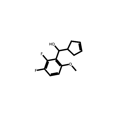 COc1ccc(F)c(F)c1C(O)C1CC=CC1